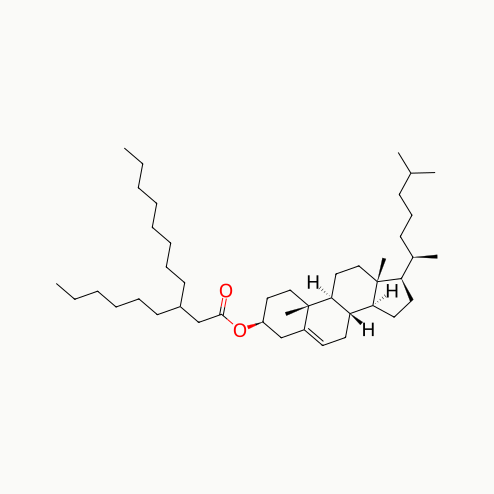 CCCCCCCCC(CCCCCC)CC(=O)O[C@H]1CC[C@@]2(C)C(=CC[C@H]3[C@@H]4CC[C@H]([C@H](C)CCCC(C)C)[C@@]4(C)CC[C@@H]32)C1